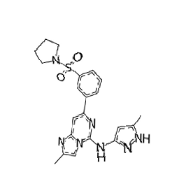 Cc1cn2c(Nc3cc(C)[nH]n3)nc(-c3cccc(S(=O)(=O)N4CCCC4)c3)cc2n1